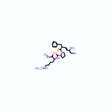 CC(C)CC(N)/C=C/C(Cc1ccccc1)C(=O)N1CCC[C@H]1C(=O)NC(CCCCNC(=O)O)C(=O)NC(C)C